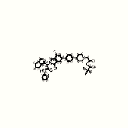 O=C(CN1CCC(c2ccc(-c3cc(F)c4c(c3)C(=O)N(C(C(=O)Nc3nccs3)c3ncn5c3CCC5)C4)cc2)CC1)OC(=O)C(F)(F)F